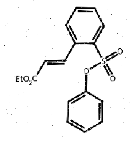 CCOC(=O)C=Cc1ccccc1S(=O)(=O)Oc1ccccc1